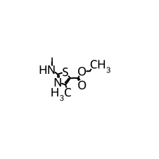 CCOC(=O)c1sc(NI)nc1C